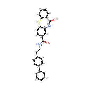 O=C(NCCc1ccc(-c2ccccc2)cc1)c1ccc2c(c1)NC(=O)c1ccccc1S2